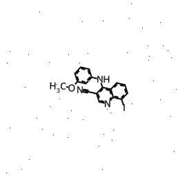 COc1cccc(Nc2c(C#N)cnc3c(I)cccc23)c1